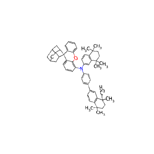 CC1(C)CCC(C)(C)c2cc(-c3ccc(N(c4ccc5c(c4)C(C)(C)CCC5(C)C)c4cccc5c4Oc4ccccc4C54C5CC6CC7CC4C75C6)cc3)ccc21